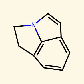 c1cc2c3c(c1)ccn3CC2